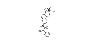 CC1C2CCC3C4CC=C5CC(N(C)C(=O)C(O)c6ccccc6)CCC5C4CCC32[C@H](C)N1C